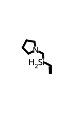 C=C[SiH2]CN1CCCC1